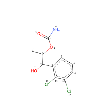 CC(OC(N)=O)C(O)c1cccc(Cl)c1Cl